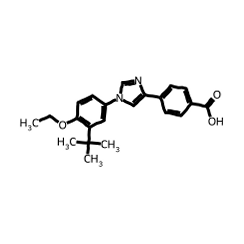 CCOc1ccc(-n2cnc(-c3ccc(C(=O)O)cc3)c2)cc1C(C)(C)C